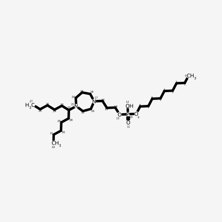 CCCCCCCCCOP(=O)(O)OCCCN1CCCN(C(CCCCC)CCCCC)CC1